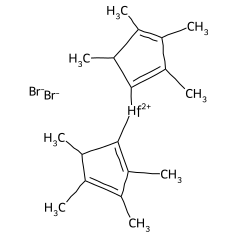 CC1=C(C)C(C)[C]([Hf+2][C]2=C(C)C(C)=C(C)C2C)=C1C.[Br-].[Br-]